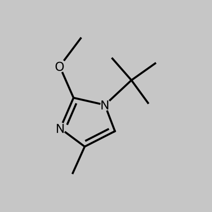 COc1nc(C)cn1C(C)(C)C